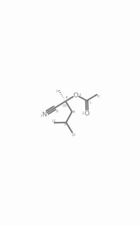 CC(=O)O[C@](C)(C#N)CC(C)C